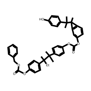 CCC(C)(c1ccc(OC(=O)OCc2ccccc2)cc1)C(C)(C)c1ccc(OC(=O)Oc2ccc3c(c2)C3(C)C(C)(C)c2ccc(O)cc2)cc1